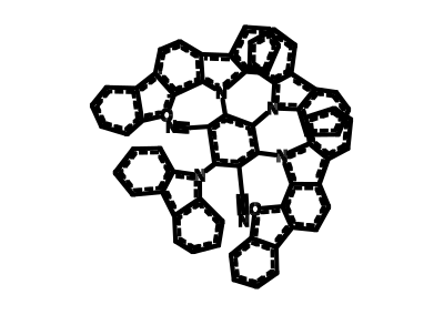 N#Cc1c(-n2c3ccccc3c3ccccc32)c(C#N)c(-n2c3ccccc3c3ccc4c5ccccc5oc4c32)c(-n2c3ccccc3c3ccccc32)c1-n1c2ccccc2c2ccc3c4ccccc4oc3c21